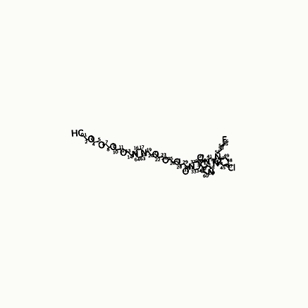 C#CCOCCOCCOCCOCCN1CCN(CCOCCOCCOCCC(=O)N2CCC3(CC2)C(=O)N(Cc2nc4cc(Cl)ccc4n2CCCCF)c2cnccc23)CC1